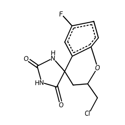 O=C1NC(=O)C2(CC(CCl)Oc3ccc(F)cc32)N1